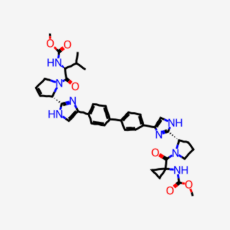 COC(=O)N[C@H](C(=O)N1CC=C[C@H]1c1nc(-c2ccc(-c3ccc(-c4c[nH]c([C@@H]5CCCN5C(=O)C5(NC(=O)OC)CC5)n4)cc3)cc2)c[nH]1)C(C)C